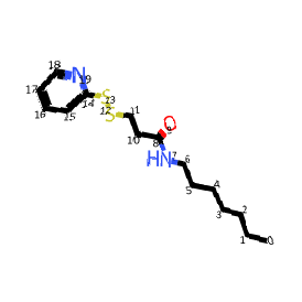 CCCCCCCNC(=O)CCSSc1ccccn1